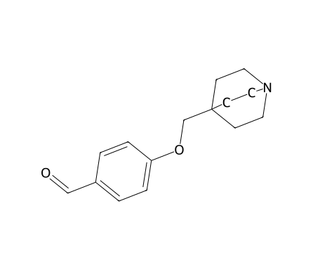 O=Cc1ccc(OCC23CCN(CC2)CC3)cc1